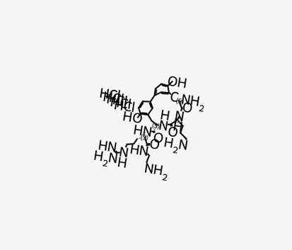 Cl.Cl.Cl.Cl.Cl.N=C(N)NCCC[C@H](NC(=O)[C@@H]1Cc2cc(ccc2O)-c2ccc(O)c(c2)C[C@H](N)C(=O)N[C@@H](CCCN)C(=O)N1)C(=O)NCCN